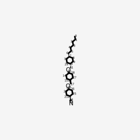 CCCCCCC[C@H]1CC[C@H](COC2CCC(CO[C@H]3CC[C@H](C#N)CC3)CC2)CC1